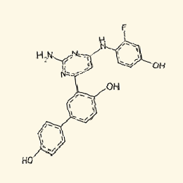 Nc1nc(Nc2ccc(O)cc2F)cc(-c2cc(-c3ccc(O)cc3)ccc2O)n1